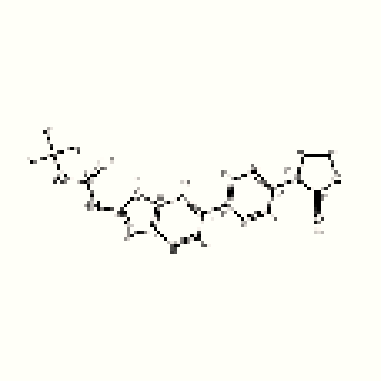 CC(C)(C)OC(=O)Nc1nc2ccc(-c3ccc(N4CCOC4=O)cc3)nc2s1